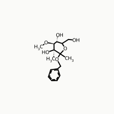 CO[C@H]1[C@H](O)C(CO)OC(C)(OCc2ccccc2)[C@@]1(C)O